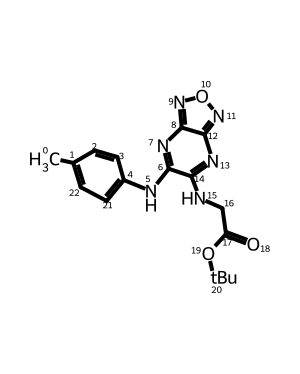 Cc1ccc(Nc2nc3nonc3nc2NCC(=O)OC(C)(C)C)cc1